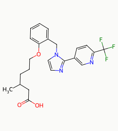 CC(CCCOc1ccccc1Cn1ccnc1-c1ccc(C(F)(F)F)nc1)CC(=O)O